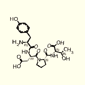 C[C@@H](O)[C@H](NC(=O)[C@@H]1CCCN1C(=O)[C@H](CC(=O)O)NC(=O)[C@@H](N)Cc1ccc(O)cc1)C(=O)O